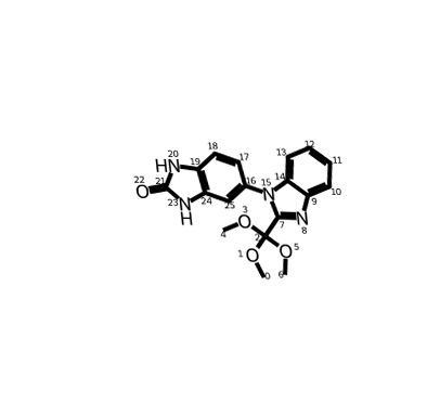 COC(OC)(OC)c1nc2ccccc2n1-c1ccc2[nH]c(=O)[nH]c2c1